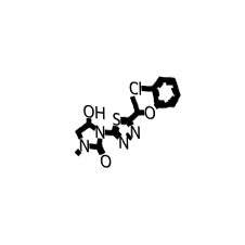 CC(Oc1ccccc1Cl)c1nnc(N2C(=O)N(C)CC2O)s1